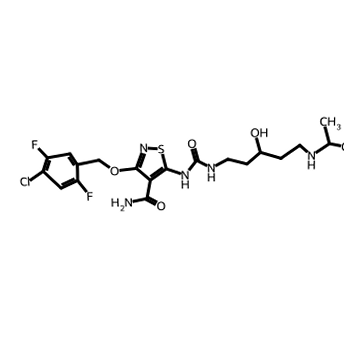 CC(C)NCCC(O)CCNC(=O)Nc1snc(OCc2cc(F)c(Cl)cc2F)c1C(N)=O